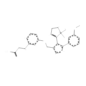 COc1cccc(-c2scc(COc3cccc(CCC(=O)O)c3)c2C2=CCCC2(C)C)c1